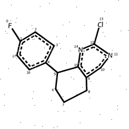 Fc1ccc(C2CCCc3cnc(Cl)nc32)cc1